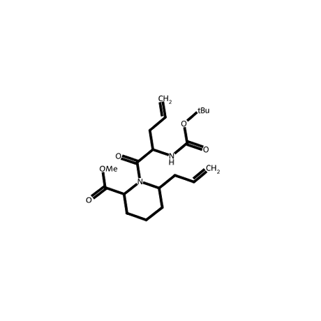 C=CCC(NC(=O)OC(C)(C)C)C(=O)N1C(CC=C)CCCC1C(=O)OC